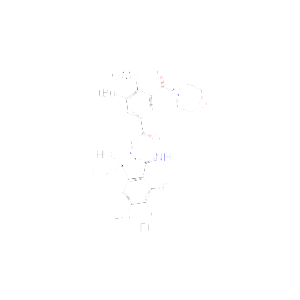 CCOc1cc2c(c(F)c1OCC)C(=N)N(CC(=O)c1cc(C(=O)N3CCOCC3)c(OC)c(C(C)(C)C)c1)C2(C)C